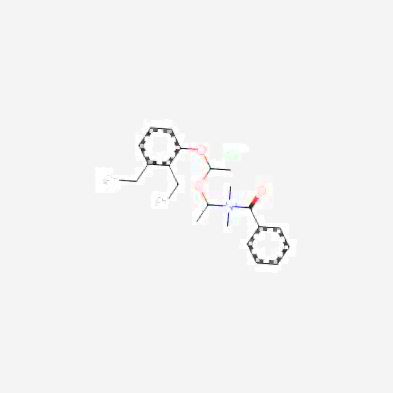 CC(C)Cc1cccc(OC(C)OC(C)[N+](C)(C)C(=O)c2ccccc2)c1CC(C)C.[Cl-]